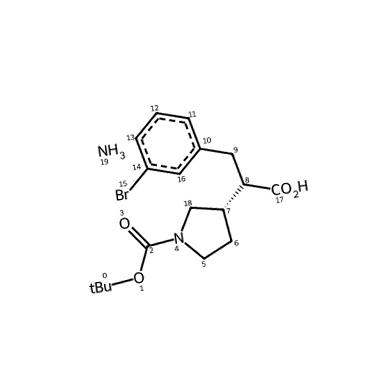 CC(C)(C)OC(=O)N1CC[C@@H](C(Cc2cccc(Br)c2)C(=O)O)C1.N